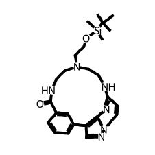 CC(C)(C)[Si](C)(C)OCCN1CCNC(=O)c2cccc(c2)-c2cnn3ccc(nc23)NCC1